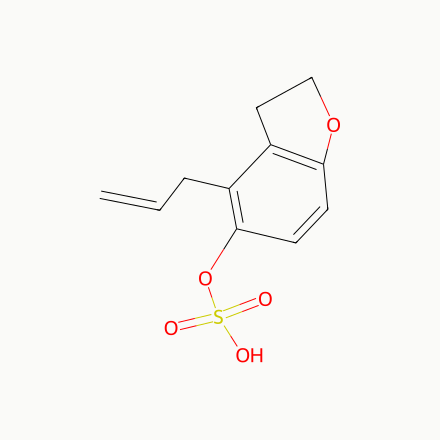 C=CCc1c(OS(=O)(=O)O)ccc2c1CCO2